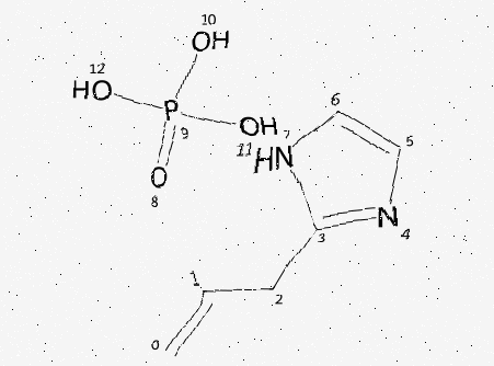 C=CCc1ncc[nH]1.O=P(O)(O)O